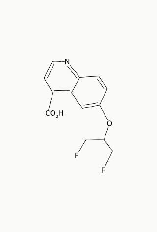 O=C(O)c1ccnc2ccc(OC(CF)CF)cc12